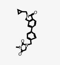 CN1C(=O)CN(Cc2ccc(-c3ccc4c(c3)CN(CC3CC3)C4=O)cc2)C1=O